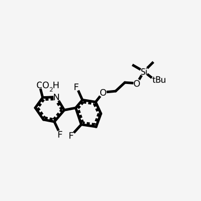 CC(C)(C)[Si](C)(C)OCCOc1ccc(F)c(-c2nc(C(=O)O)ccc2F)c1F